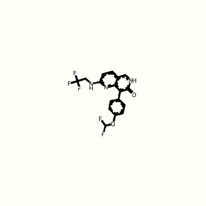 O=c1[nH]cc2ccc(NCC(F)(F)F)nc2c1-c1ccc(OC(F)F)cc1